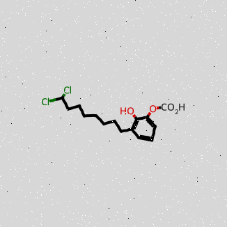 O=C(O)Oc1cccc(CCCCCCCC(Cl)Cl)c1O